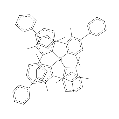 CC1=C(C)C(C)C([Si](c2c(C)cc(-c3ccccc3)c(C)c2-c2ccccc2)(c2c(C)cc(-c3ccccc3)c(C)c2-c2ccccc2)c2c(C)cc(-c3ccccc3)c(C)c2-c2ccccc2)=C1C